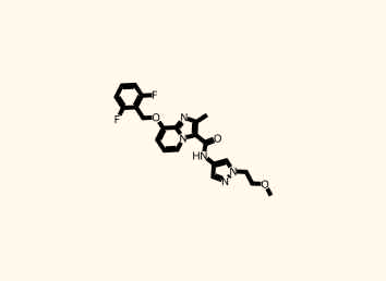 COCCn1cc(NC(=O)c2c(C)nc3c(OCc4c(F)cccc4F)cccn23)cn1